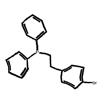 Brc1ccc(CCP(c2ccccc2)c2ccccc2)cc1